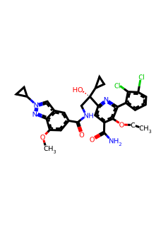 CCOc1c(C(N)=O)cc([C@@](O)(CNC(=O)c2cc(OC)c3nn(C4CC4)cc3c2)C2CC2)nc1-c1cccc(Cl)c1Cl